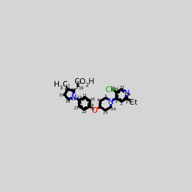 CCc1cc(N2CCC(Oc3ccc(N4CC[C@@H](C)[C@@H]4CC(=O)O)cc3)CC2)c(Cl)cn1